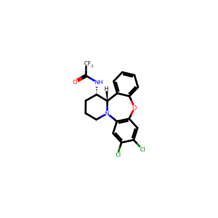 O=C(N[C@H]1CCCN2c3cc(Cl)c(Cl)cc3Oc3ccccc3[C@@H]12)C(F)(F)F